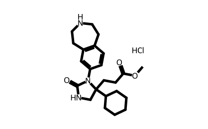 COC(=O)CCC1(C2CCCCC2)CNC(=O)N1c1ccc2c(c1)CCNCC2.Cl